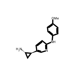 COc1ccc(Nc2ccc([C@H]3C[C@@H]3N)cn2)cc1